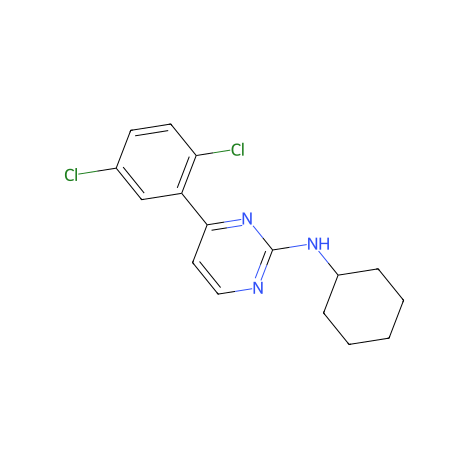 Clc1ccc(Cl)c(-c2ccnc(NC3CCCCC3)n2)c1